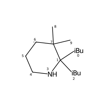 CCC(C)C1(C(C)CC)NCC[CH]C1(C)C